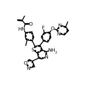 C=C(C)C(=O)Nc1ccc(-c2sc3c(-c4cnoc4)cnc(N)c3c2-c2ccc(Oc3nccc(C)n3)c(F)c2)c(C)c1